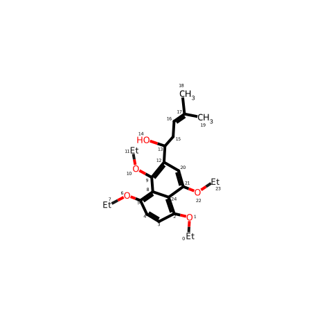 CCOc1ccc(OCC)c2c(OCC)c(C(O)CC=C(C)C)cc(OCC)c12